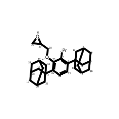 CC(C)c1c(C23CC4CC(CC(C4)C2)C3)ccc(C23CC4CC(CC(C4)C2)C3)c1OCC1CO1